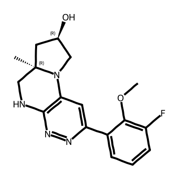 COc1c(F)cccc1-c1cc2c(nn1)NC[C@@]1(C)C[C@@H](O)CN21